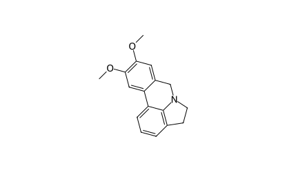 COc1cc2c(cc1OC)-c1cccc3c1N(CC3)C2